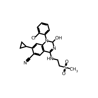 CS(=O)(=O)CCNC1=NC(O)N(c2ccccc2Cl)c2cc(C3CC3)c(C#N)cc21